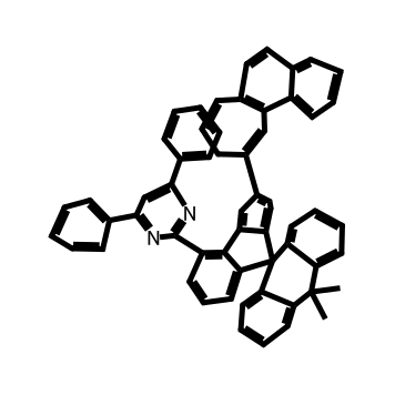 CC1(C)c2ccccc2C2(c3ccc(C4=Cc5c(ccc6ccccc56)C=CC4)cc3-c3c(-c4nc(-c5ccccc5)cc(-c5ccccc5)n4)cccc32)c2ccccc21